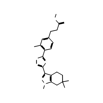 CCn1nc(-c2noc(-c3ccc(CCC(=O)OC(C)(C)C)cc3C)n2)c2c1CC(C)(C)CC2